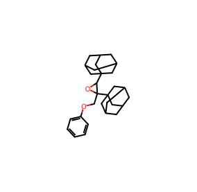 c1ccc(OCC2(C34CC5CC(CC(C5)C3)C4)OC2C23CC4CC(CC(C4)C2)C3)cc1